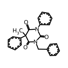 CC1(c2ccccc2)C(=O)N(Cc2ccccc2)C(=O)N(c2ccccc2)C1=O